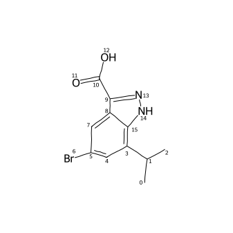 CC(C)c1cc(Br)cc2c(C(=O)O)n[nH]c12